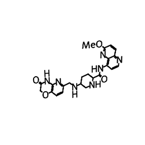 COc1ccc2nccc(NC(=O)C3CCC(NCc4ccc5c(n4)NC(=O)CO5)CN3)c2n1